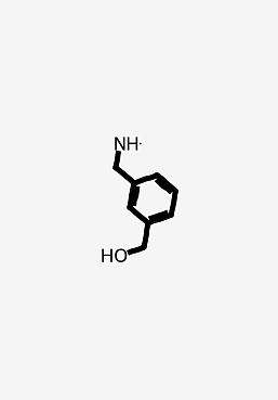 [NH]Cc1cccc(CO)c1